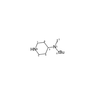 CC(C)(C)N(I)C1CCNCC1